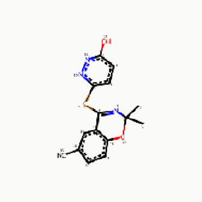 CC1(C)N=C(Sc2ccc(O)nn2)c2cc(C#N)ccc2O1